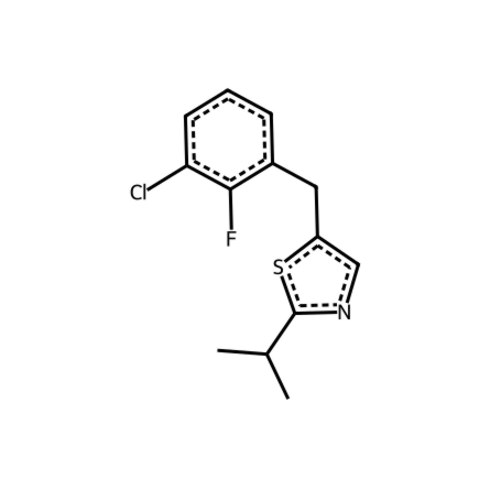 CC(C)c1ncc(Cc2cccc(Cl)c2F)s1